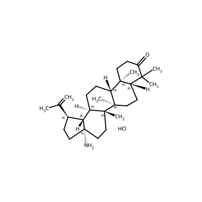 C=C(C)[C@@H]1CC[C@]2(N)CC[C@]3(C)[C@H](CC[C@@H]4[C@@]5(C)CCC(=O)C(C)(C)[C@@H]5CC[C@]43C)[C@@H]12.Cl